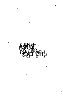 CC(C)N1C(=O)COc2c(F)cc(-c3nc(Nc4ccc(N5CCC(N(C)C)CC5)c(F)c4)ncc3C(F)(F)F)cc21